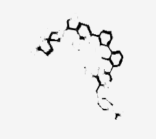 COc1nc(-c2cccc(-c3cccc(-c4cc5c(c(OC)n4)C(N4CC6(CCC(=O)N6)C4)CO5)c3F)c2C)cnc1CN1CCN(C(C)=O)CC1